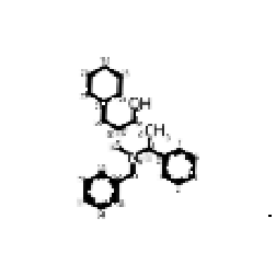 C[C@@H](c1ccccc1)N(Cc1ccccc1)C[C@@H](CO)CC1CCCCC1